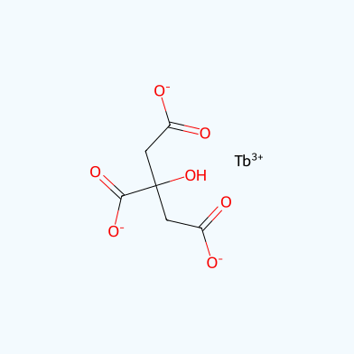 O=C([O-])CC(O)(CC(=O)[O-])C(=O)[O-].[Tb+3]